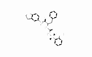 Cc1ccccc1S(=O)(=O)NC(=O)NC(Cc1ccccc1)C(=O)N(C)c1ccc2c(c1)CCO2